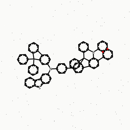 c1ccc(-c2ccc3c4c2N(c2ccccc2)c2ccccc2C4(c2ccccc2)c2cc(-c4ccc(N(c5ccc6c(c5)C(c5ccccc5)(c5ccccc5)c5ccccc5-6)c5ccc6sc7ccccc7c6c5)cc4)ccc2-3)cc1